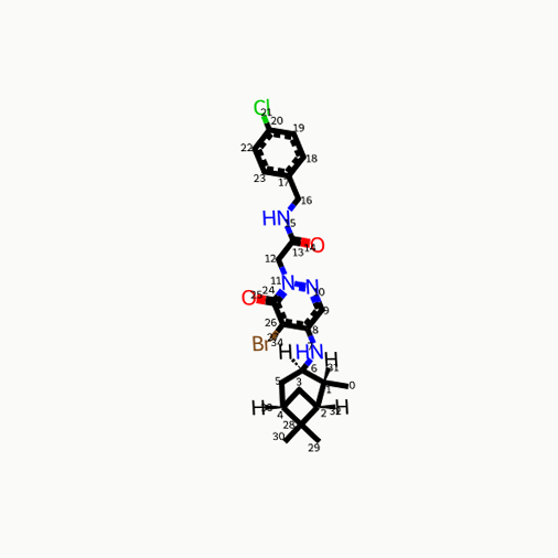 C[C@@H]1[C@H]2C[C@@H](C[C@H]1Nc1cnn(CC(=O)NCc3ccc(Cl)cc3)c(=O)c1Br)C2(C)C